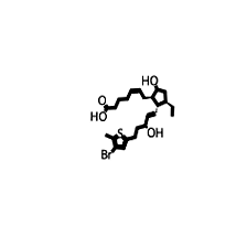 CC[C@@H]1CC(O)[C@H](C/C=C\CCCC(=O)O)[C@H]1/C=C/[C@@H](O)CCc1cc(Br)c(C)s1